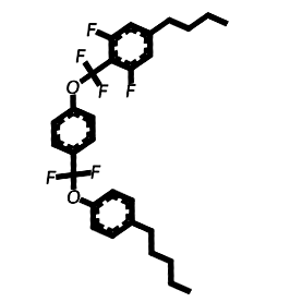 CCCCCc1ccc(OC(F)(F)c2ccc(OC(F)(F)c3c(F)cc(CCCC)cc3F)cc2)cc1